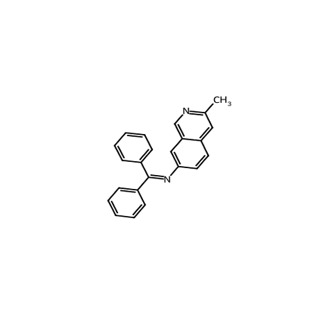 Cc1cc2ccc(N=C(c3ccccc3)c3ccccc3)cc2cn1